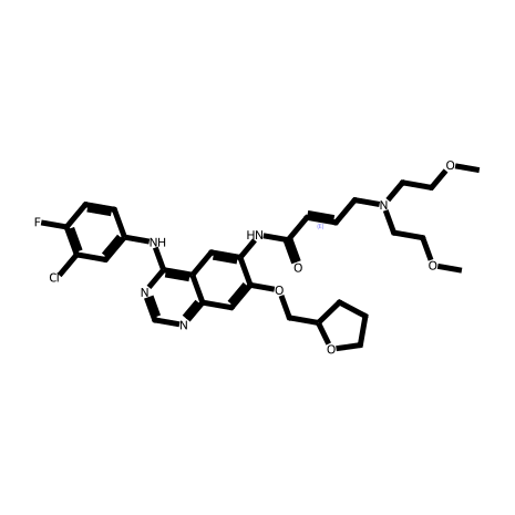 COCCN(C/C=C/C(=O)Nc1cc2c(Nc3ccc(F)c(Cl)c3)ncnc2cc1OCC1CCCO1)CCOC